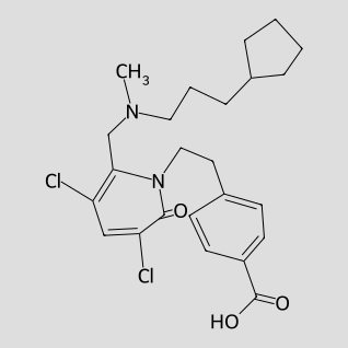 CN(CCCC1CCCC1)Cc1c(Cl)cc(Cl)c(=O)n1CCc1ccc(C(=O)O)cc1